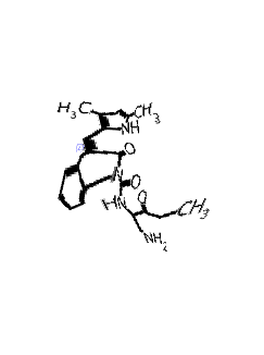 CCC(=O)C(CN)NC(=O)N1C(=O)/C(=C\c2[nH]c(C)cc2C)c2ccccc21